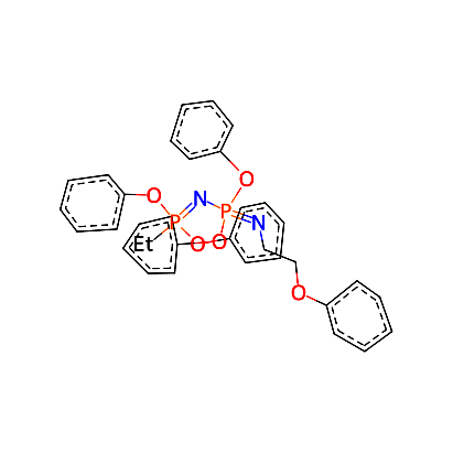 CCP(=NP(=NCCOc1ccccc1)(Oc1ccccc1)Oc1ccccc1)(Oc1ccccc1)Oc1ccccc1